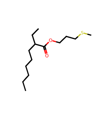 CCCCCCC(CC)C(=O)OCCCSC